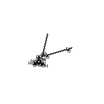 CCCCCCCCCCCCCCCC(=O)O[C@H](COC(=O)CCCCCCCCCCCCCCSC(=O)CCC)COP(=O)(O)OC1C(O)[C@@H](OP(=O)(O)O)C(O)[C@@H](OP(=O)(O)O)[C@H]1O